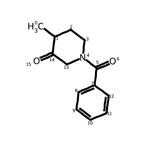 CC1CCN(C(=O)c2ccccc2)CC1=O